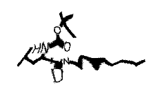 CCCCCCCCNC(=O)C(CC(C)C)NC(=O)OC(C)(C)C